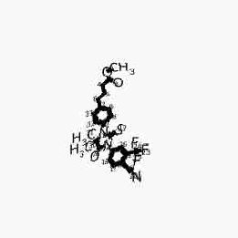 COC(=O)CCCc1ccc(N2C(=S)N(c3ccc(C#N)c(C(F)(F)F)c3)C(=O)C2(C)C)cc1